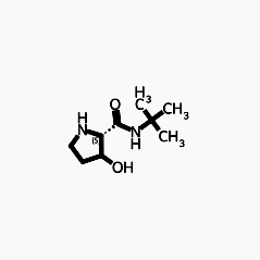 CC(C)(C)NC(=O)[C@H]1NCCC1O